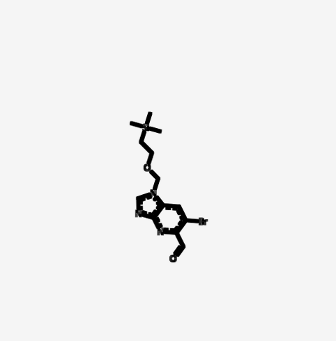 C[Si](C)(C)CCOCn1cnc2nc(C=O)c(Br)cc21